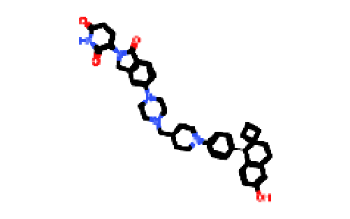 O=C1CCC(N2Cc3cc(N4CCN(CC5CCN(c6ccc([C@H]7c8ccc(O)cc8CCC78CCC8)cc6)CC5)CC4)ccc3C2=O)C(=O)N1